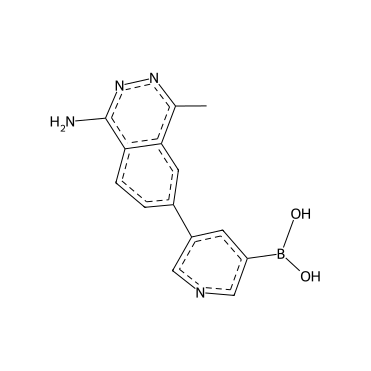 Cc1nnc(N)c2ccc(-c3cncc(B(O)O)c3)cc12